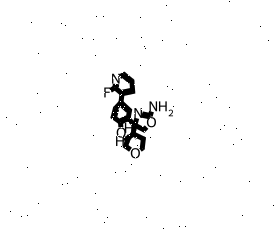 NC1=NC2(CO1)c1cc(-c3cccnc3F)ccc1O[C@H]1COCC[C@@H]12